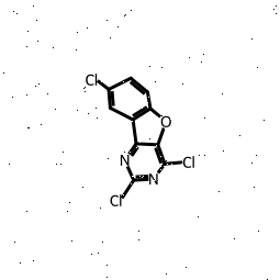 Clc1ccc2oc3c(Cl)nc(Cl)nc3c2c1